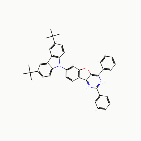 CC(C)(C)c1ccc2c(c1)c1cc(C(C)(C)C)ccc1n2-c1ccc2c(c1)oc1c(-c3ccccc3)nc(-c3ccccc3)nc12